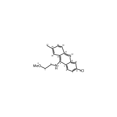 COCCNc1c2ccc(Cl)cc2nc2ccc(C)cc12